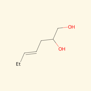 CCC=CCC(O)CO